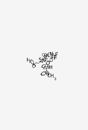 Cn1cc(C(=O)Nc2cc(Cl)c(CC(=O)[N+]3(N4CCN(CC(F)(F)F)CC4)CCC[C@H]3c3ncc(CCC(=O)O)s3)cc2Cl)c2ccccc21